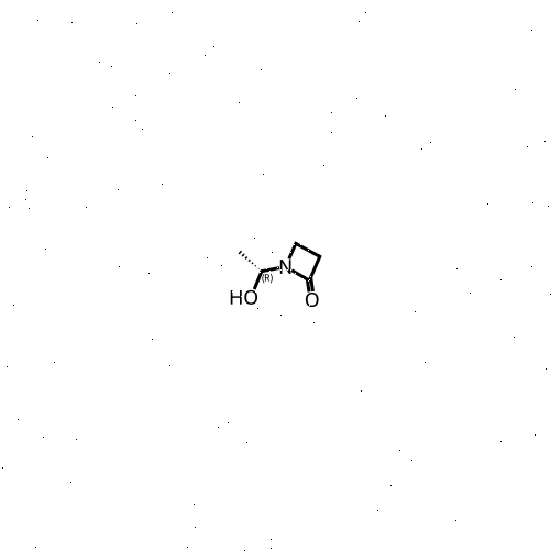 C[C@@H](O)N1CCC1=O